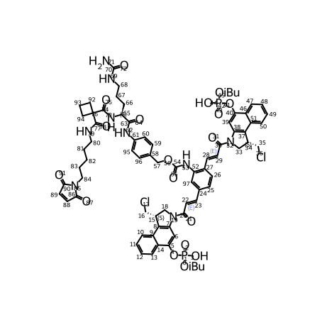 CC(C)COP(=O)(O)Oc1cc2c(c3ccccc13)[C@H](CCl)CN2C(=O)/C=C/c1ccc(/C=C/C(=O)N2C[C@@H](CCl)c3c2cc(OP(=O)(O)OCC(C)C)c2ccccc32)c(NC(=O)OCc2ccc(NC(=O)[C@H](CCCNC(N)=O)NC(=O)C3(C(=O)NCCCCCN4C(=O)C=CC4=O)CCC3)cc2)c1